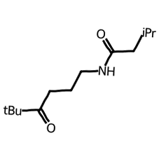 CC(C)CC(=O)NCCCC(=O)C(C)(C)C